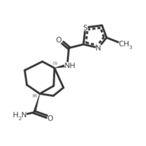 Cc1csc(C(=O)N[C@@]23CCC[C@@](C(N)=O)(CC2)C3)n1